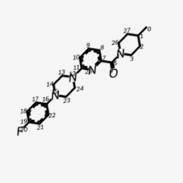 CC1CCN(C(=O)c2cccc(N3CCN(c4ccc(F)cc4)CC3)n2)CC1